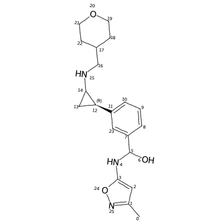 Cc1cc(NC(O)c2cccc([C@H]3CC3NCC3CCOCC3)c2)on1